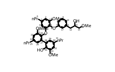 CCCc1cc(OC)c(Oc2cccc(CC(O)COC)c2)c(Oc2c(OC)cc(CCC)cc2-c2cc(CCC)cc(OC)c2O)c1